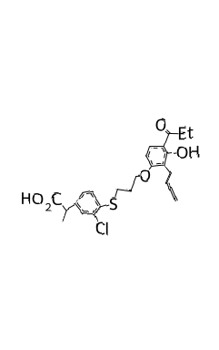 C=CCc1c(OCCCSc2ccc(C(C)C(=O)O)cc2Cl)ccc(C(=O)CC)c1O